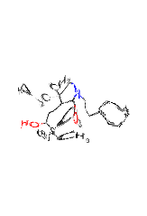 CC(C)(C)[Si](C)(C)C(O)CC1C(=O)N(CCc2ccccc2)C[C@@]1(C)C(=O)O